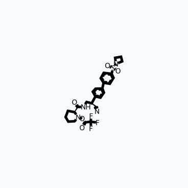 N#C[C@@H](CNC(=O)[C@@H]1CCCCN1OC(=O)C(F)(F)F)c1ccc(-c2ccc(S(=O)(=O)N3CCC3)cc2)cc1